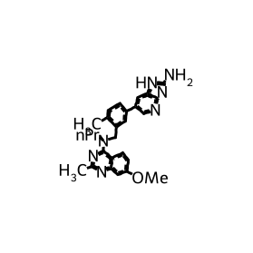 CCCN(Cc1cc(-c2cnc3nc(N)[nH]c3c2)ccc1C)c1nc(C)nc2cc(OC)ccc12